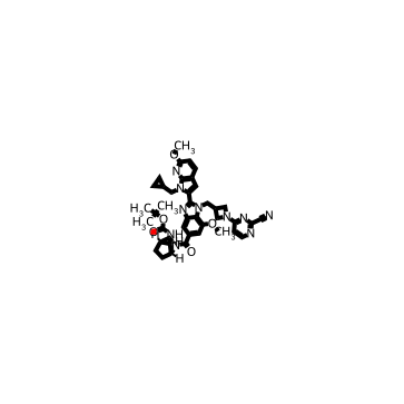 COc1ccc2cc(-c3nc4cc(C(=O)N5C[C@H]6CC[C@@H]5[C@@H]6NC(=O)OC(C)(C)C)cc(OC)c4n3CC3CN(c4ccnc(C#N)n4)C3)n(CC3CC3)c2n1